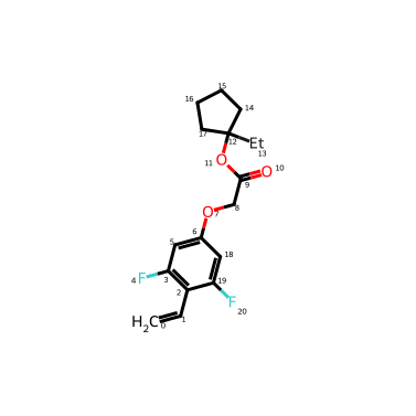 C=Cc1c(F)cc(OCC(=O)OC2(CC)CCCC2)cc1F